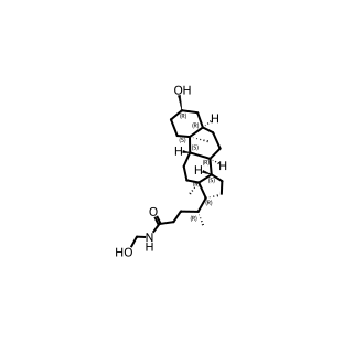 C[C@H](CCC(=O)NCO)[C@H]1CC[C@H]2[C@@H]3CC[C@@H]4C[C@H](O)CC[C@]4(C)[C@H]3CC[C@]12C